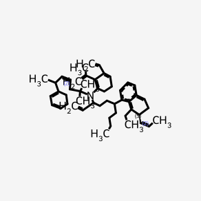 C=CC1=CCCC(N(C(C=C)CCC(CCCC)c2cccc3c2=C(CC)[C@H](/C=C\C)CC=3)C(C)(C)C/C=C\C(C)C2=CC=CCC2)=C1C(=C)C